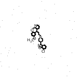 COc1ccc2c(c1)C(=CCCN1CCC(c3noc4c(Cl)cccc34)CC1)c1cccnc1CO2